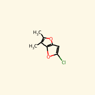 Cc1oc2cc(Cl)oc2c1C